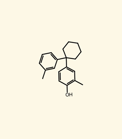 Cc1cccc(C2(c3ccc(O)c(C)c3)CCCCC2)c1